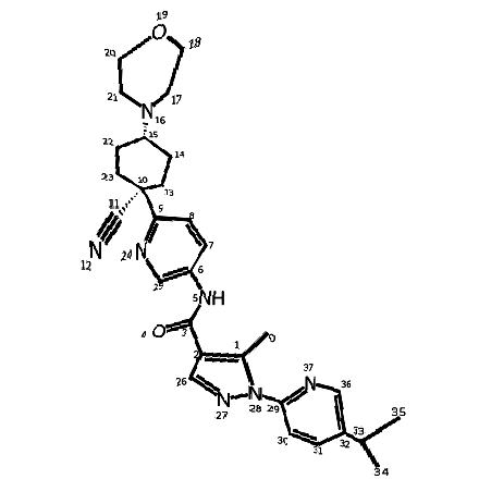 Cc1c(C(=O)Nc2ccc([C@]3(C#N)CC[C@@H](N4CCOCC4)CC3)nc2)cnn1-c1ccc(C(C)C)cn1